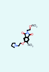 O=C1c2cc(OCCN3CCCC3)c([N+](=O)[O-])cc2C(=O)N1CCO[N+](=O)[O-]